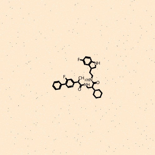 CC(C(=O)NCC(C(=O)NCCC1CNc2ccc(F)cc21)C1CCCCC1)c1ccc(-c2ccccc2)c(F)c1